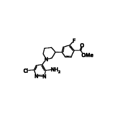 COC(=O)c1ccc(C2CCCN(c3cc(Cl)nnc3N)C2)cc1F